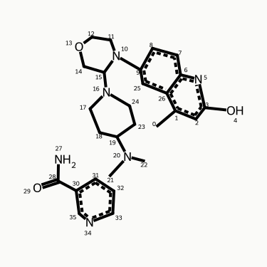 Cc1cc(O)nc2ccc(N3CCOCC3N3CCC(N(C)C)CC3)cc12.NC(=O)c1cccnc1